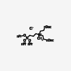 CCCCCCCCCCCC[N+](C)(CCCCCCCCCCCC)CCC[Si](OCCC)(OCCC)OCCC.[Cl-]